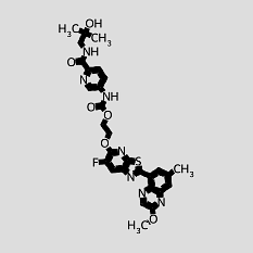 COc1cnc2c(-c3nc4cc(F)c(OCCOC(=O)Nc5ccc(C(=O)NCC(C)(C)O)nc5)nc4s3)cc(C)cc2n1